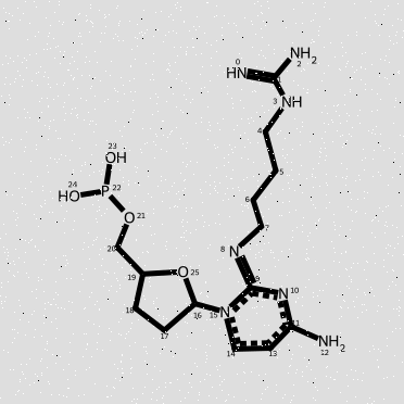 N=C(N)NCCCC/N=c1\nc(N)ccn1C1CCC(COP(O)O)O1